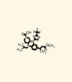 COC(=O)CC(C)c1ccc(N(CC(C)C)C2CCN(C(=O)O)CC2)c(Nc2nc(C(F)(F)F)ns2)c1